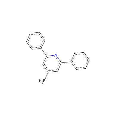 Bc1cc(-c2ccccc2)nc(-c2ccccc2)c1